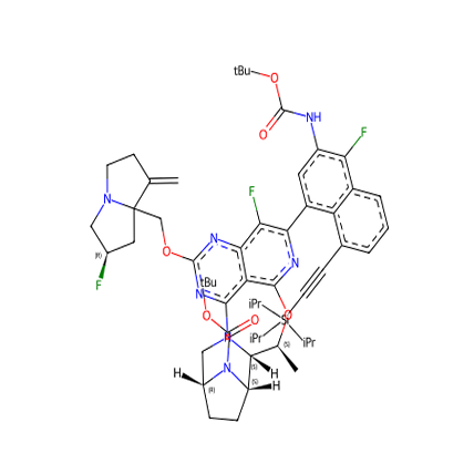 C=C1CCN2C[C@H](F)CC12COc1nc2c3c(nc(-c4cc(NC(=O)OC(C)(C)C)c(F)c5cccc(C#C[Si](C(C)C)(C(C)C)C(C)C)c45)c(F)c3n1)O[C@@H](C)[C@@H]1[C@@H]3CC[C@H](CN21)N3C(=O)OC(C)(C)C